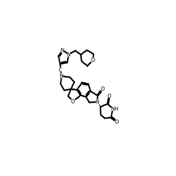 O=C1CC[C@H](N2Cc3c(ccc4c3OCC43CCN(Cc4cnn(CC5CCOCC5)c4)CC3)C2=O)C(=O)N1